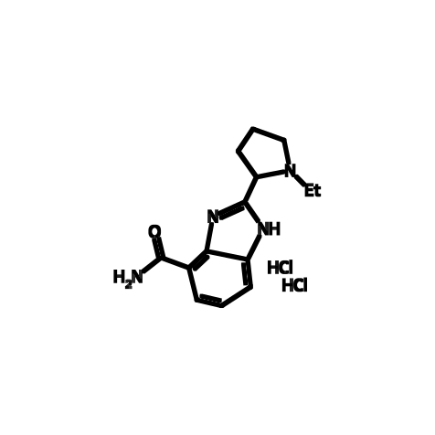 CCN1CCCC1c1nc2c(C(N)=O)cccc2[nH]1.Cl.Cl